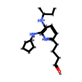 CC[C@H](C)Nc1ccc(CCCC=O)nc1NC1CCCC1